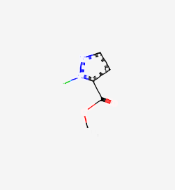 COC(=O)c1ccnn1Cl